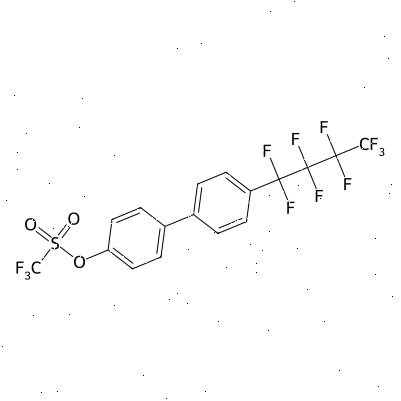 O=S(=O)(Oc1ccc(-c2ccc(C(F)(F)C(F)(F)C(F)(F)C(F)(F)F)cc2)cc1)C(F)(F)F